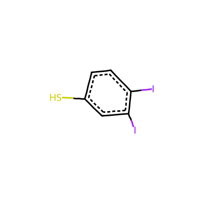 Sc1ccc(I)c(I)c1